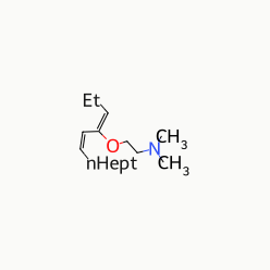 CC/C=C(\C=C/CCCCCCC)OCCN(C)C